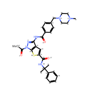 COC(=O)n1nc(NC(=O)c2ccc(CN3CCN(C)CC3)cc2)c2cc(C(=O)NC(C)(C)c3ccccc3)sc21